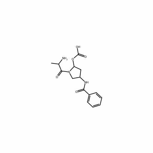 CC(N)C(=O)N1CC(NC(=O)c2ccccc2)CC1OC(=O)O